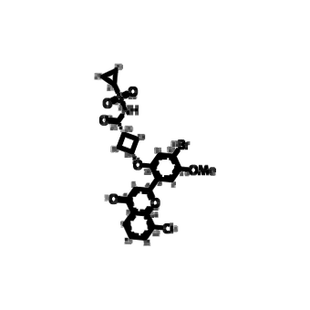 COc1cc(-c2cc(=O)c3cccc(Cl)c3o2)c(O[C@H]2C[C@@H](C(=O)NS(=O)(=O)C3CC3)C2)cc1Br